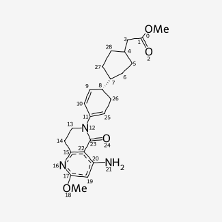 COC(=O)CC1CCC([C@H]2C=CC(N3CCc4nc(OC)cc(N)c4C3=O)=CC2)CC1